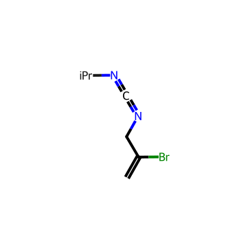 C=C(Br)CN=C=NC(C)C